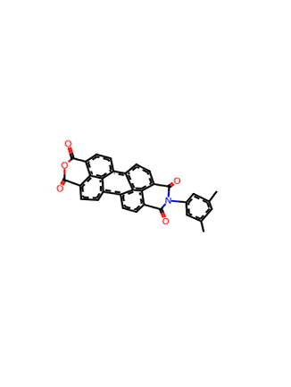 Cc1cc(C)cc(N2C(=O)c3ccc4c5ccc6c7c(ccc(c8ccc(c3c48)C2=O)c75)C(=O)OC6=O)c1